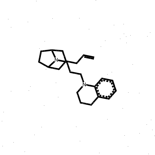 C=CCC1CC2CCC(C1)N2CCCN1CCCc2ccccc21